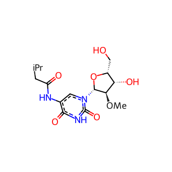 CO[C@@H]1[C@@H](O)[C@@H](CO)O[C@H]1n1cc(NC(=O)CC(C)C)c(=O)[nH]c1=O